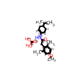 COc1cc(C)c(CC(=O)NC2CCC(C(C)C)CC2)c(C)c1.O=C(O)O